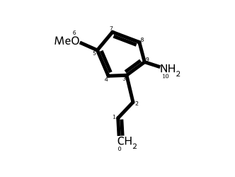 C=CCc1cc(OC)ccc1N